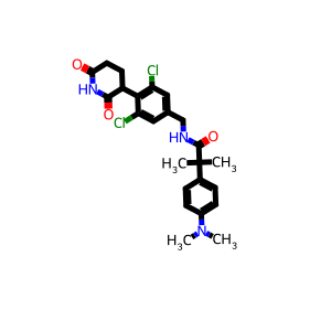 CN(C)c1ccc(C(C)(C)C(=O)NCc2cc(Cl)c(C3CCC(=O)NC3=O)c(Cl)c2)cc1